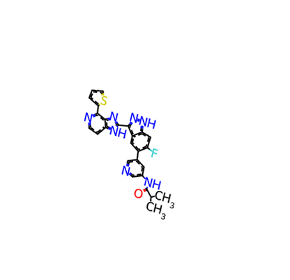 CC(C)C(=O)Nc1cncc(-c2cc3c(-c4nc5c(-c6cccs6)nccc5[nH]4)n[nH]c3cc2F)c1